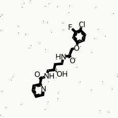 O=C(COc1ccc(Cl)c(F)c1)NCC[C@H](O)CNC(=O)c1ccccn1